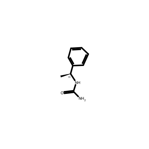 C[C@H](NC(N)=O)c1ccccc1